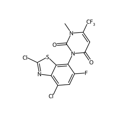 Cn1c(C(F)(F)F)cc(=O)n(-c2c(F)cc(Cl)c3nc(Cl)sc23)c1=O